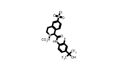 CCS(=O)(=O)c1ccc2c(c1)CCN(C(=O)O)C2C(=O)Nc1ccc(C(O)(C(F)(F)F)C(F)(F)F)cc1F